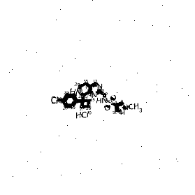 Cl.Cn1cc(S(=O)(=O)NCc2ncc3c(n2)C(C2(c4ccc(Cl)cc4)CCC2)NCC3)cn1